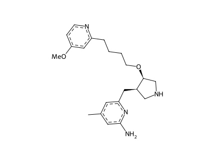 COc1ccnc(CCCCO[C@H]2CNC[C@H]2Cc2cc(C)cc(N)n2)c1